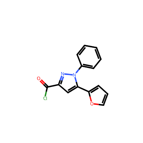 O=C(Cl)c1cc(-c2ccco2)n(-c2ccccc2)n1